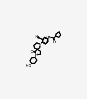 N#Cc1cc(NC(=O)C2CCCC2)ccc1N1CCCC2(CCN([C@H]3CC[C@H](O)CC3)C2=O)C1